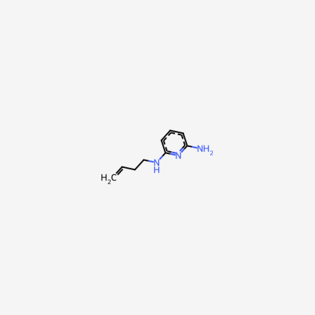 C=CCCNc1cccc(N)n1